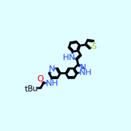 CC(C)(C)CC(=O)Nc1cncc(-c2ccc3[nH]nc(-c4cc5c(-c6ccsc6)cccc5[nH]4)c3c2)c1